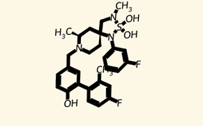 Cc1cc(F)ccc1-c1cc(CN2CC[C@@]3(C[C@@H]2C)CN(C)S(O)(O)N3c2cccc(F)c2)ccc1O